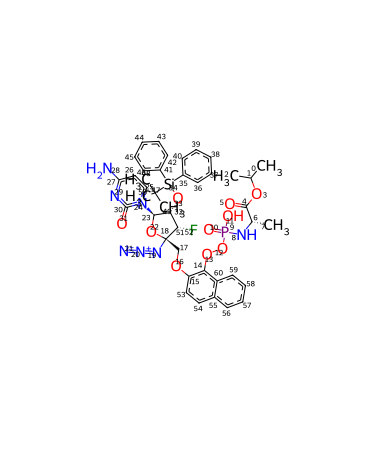 CC(C)OC(=O)[C@H](C)NP(=O)(O)OOc1c(OC[C@@]2(N=[N+]=[N-])O[C@@H](n3ccc(N)nc3=O)[C@H](O[Si](c3ccccc3)(c3ccccc3)C(C)(C)C)[C@@H]2F)ccc2ccccc12